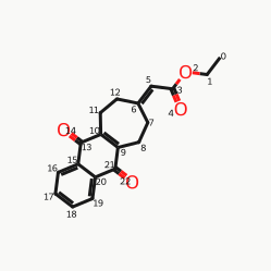 CCOC(=O)C=C1CCC2=C(CC1)C(=O)c1ccccc1C2=O